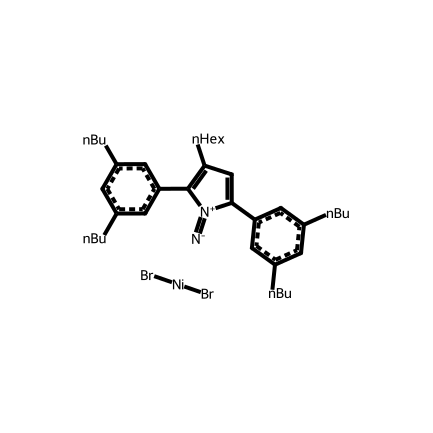 CCCCCCC1=C(c2cc(CCCC)cc(CCCC)c2)[N+](=[N-])C(c2cc(CCCC)cc(CCCC)c2)=C1.[Br][Ni][Br]